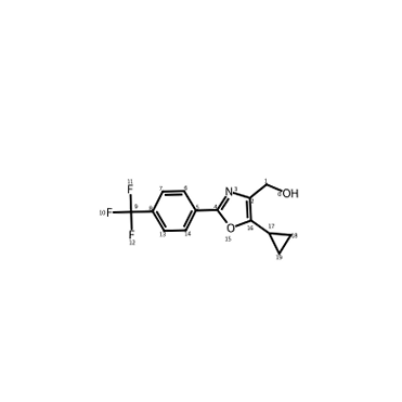 OCc1nc(-c2ccc(C(F)(F)F)cc2)oc1C1CC1